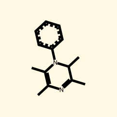 CC1=NC(C)=C(C)N(c2ccccc2)C1C